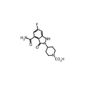 NC(=O)c1cc(F)cc2[nH]n(C3CCN(C(=O)O)CC3)c(=O)c12